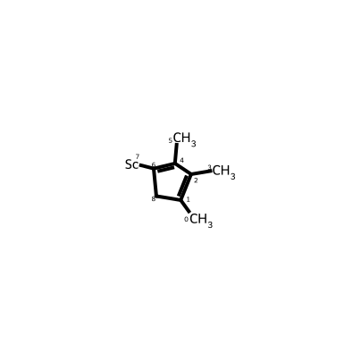 CC1=C(C)C(C)=[C]([Sc])C1